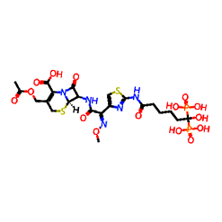 CO/N=C(\C(=O)N[C@@H]1C(=O)N2C(C(=O)O)=C(COC(C)=O)CS[C@H]12)c1csc(NC(=O)CCCCC(O)(P(=O)(O)O)P(=O)(O)O)n1